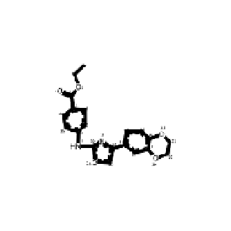 CCOC(=O)c1ccc(Nc2nc(-c3ccc4c(c3)OCCO4)cs2)cc1